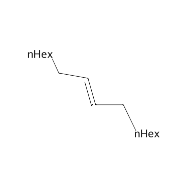 [CH2]CCCCCC/C=[C]/CCCCCCC